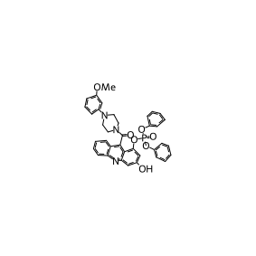 COc1cccc(N2CCN(C(=O)c3c4ccccc4nc4cc(O)cc(OP(=O)(Oc5ccccc5)Oc5ccccc5)c34)CC2)c1